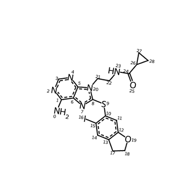 Nc1ncnc2c1nc(Sc1cc3c(cc1I)CCO3)n2CCNC(=O)C1CC1